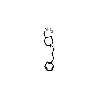 NCC1CCN(CCCc2ccccc2)CC1